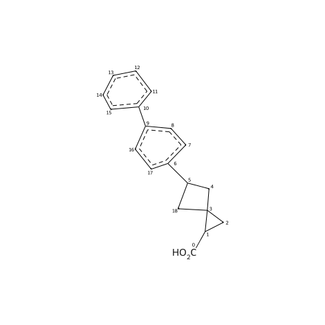 O=C(O)C1CC12CC(c1ccc(-c3ccccc3)cc1)C2